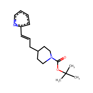 CC(C)(C)OC(=O)N1CCC(CC=Cc2ccccn2)CC1